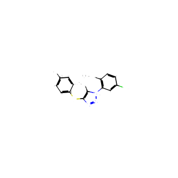 COc1ccc(Cl)cc1-n1nnc(Sc2ccc(C(C)(C)C)cc2)c1C#N